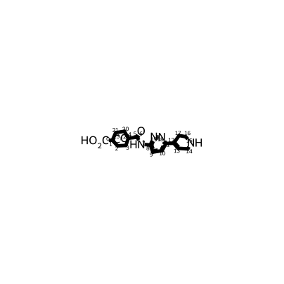 O=C(O)C12CCC(C(=O)Nc3ccc(C4=CCNCC4)nn3)(CC1)CC2